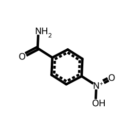 NC(=O)c1ccc([N+](=O)O)cc1